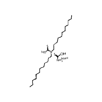 CCCCCCCCCCCCN(CCCCCCCCCCCC)C(O)=S.NC(O)=S.[NaH]